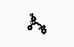 CN(C)c1ccc2c(c1)OC(c1ccccc1)=C/C2=C\C=C\C1=[N+](C)c2ccccc2C1(C)C